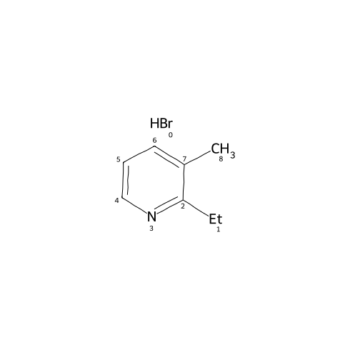 Br.CCc1ncccc1C